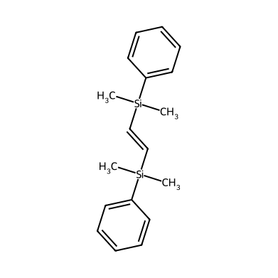 C[Si](C)(C=C[Si](C)(C)c1ccccc1)c1ccccc1